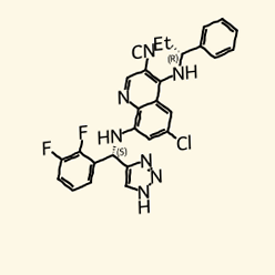 CC[C@@H](Nc1c(C#N)cnc2c(N[C@H](c3c[nH]nn3)c3cccc(F)c3F)cc(Cl)cc12)c1ccccc1